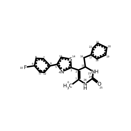 CC1=C(c2nc(-c3ccc(F)cc3)cs2)C(Cc2ccccc2)NC(=O)N1